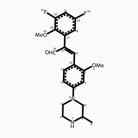 COc1cc(N2CCNC(C)C2)ccc1/C=C(\C=O)c1cc(F)cc(F)c1OC